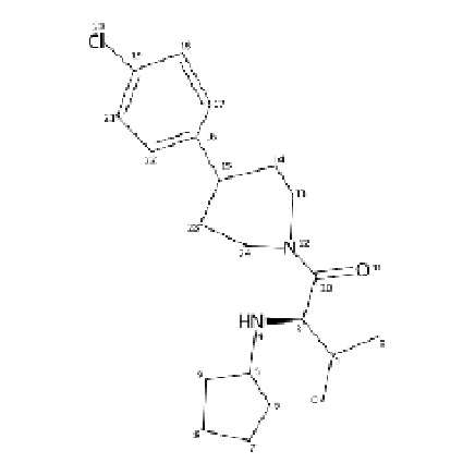 CC(C)[C@@H](NC1CCCC1)C(=O)N1CCC(c2ccc(Cl)cc2)CC1